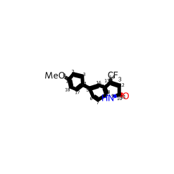 COc1ccc(-c2ccc3[nH]c(=O)cc(C(F)(F)F)c3c2)cc1